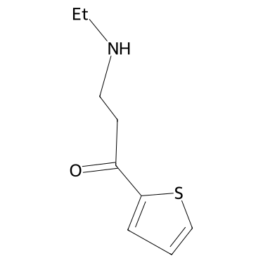 CCNCCC(=O)c1cccs1